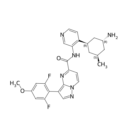 COc1cc(F)c(-c2cnn3ccc(C(=O)Nc4cnccc4[C@@H]4C[C@H](C)C[C@@H](N)C4)nc23)c(F)c1